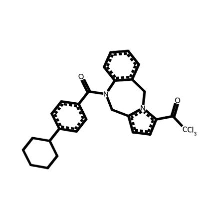 O=C(c1ccc(C2CCCCC2)cc1)N1Cc2ccc(C(=O)C(Cl)(Cl)Cl)n2Cc2ccccc21